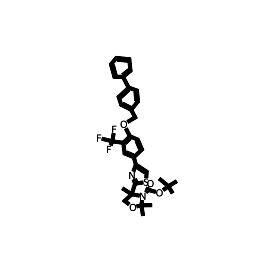 CC(C)(C)OC(=O)N1C(C)(C)OCC1(C)c1nc(-c2ccc(OCc3ccc(-c4ccccc4)cc3)c(C(F)(F)F)c2)cs1